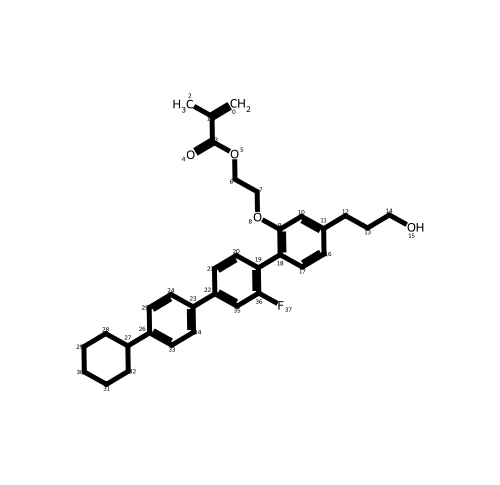 C=C(C)C(=O)OCCOc1cc(CCCO)ccc1-c1ccc(-c2ccc(C3CCCCC3)cc2)cc1F